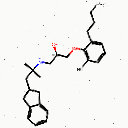 CC(C)(CC1Cc2ccccc2C1)NC[C@@H](O)COc1c(C#N)cccc1CCCC(=O)O